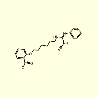 N#CN/C(=N\c1cccnc1)NCCCCCCOc1ccccc1[N+](=O)[O-]